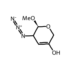 CO[C@H]1OCC(O)=CC1N=[N+]=[N-]